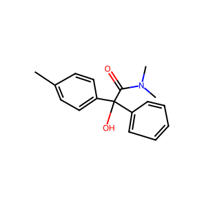 Cc1ccc(C(O)(C(=O)N(C)C)c2ccccc2)cc1